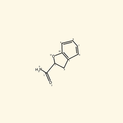 NC(=O)C1Cc2[c]cccc2O1